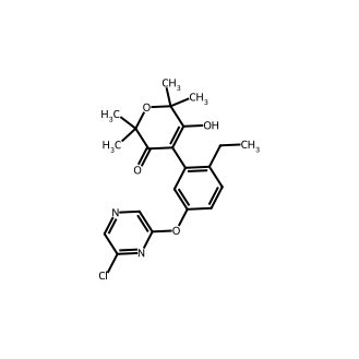 CCc1ccc(Oc2cncc(Cl)n2)cc1C1=C(O)C(C)(C)OC(C)(C)C1=O